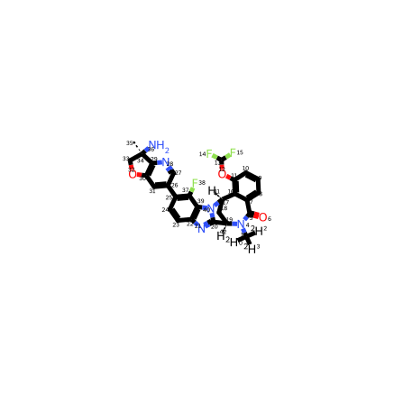 [2H]C([2H])([2H])N1C(=O)c2cccc(OC(F)F)c2[C@H]2C[C@@H]1c1nc3ccc(-c4cnc5c(c4)OC[C@@]5(C)N)c(F)c3n12